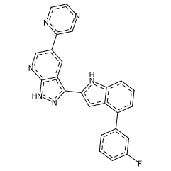 Fc1cccc(-c2cccc3[nH]c(-c4n[nH]c5ncc(-c6cnccn6)cc45)cc23)c1